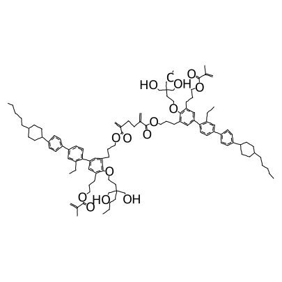 C=C(C)C(=O)OCCCc1cc(-c2ccc(-c3ccc(C4CCC(CCCCC)CC4)cc3)cc2CC)cc(CCCOC(=O)C(=C)CCC(=C)C(=O)OCCCc2cc(-c3ccc(-c4ccc(C5CCC(CCCCC)CC5)cc4)cc3CC)cc(CCCOC(=O)C(=C)C)c2OCCC(CO)(CO)CCCC)c1OCCC(CO)(CO)CCC